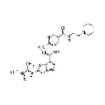 Cc1ncc(C(=O)NCCN2CCCCC2)cc1NC(=O)c1cnn2cc(-c3cnn(C)c3C)sc12